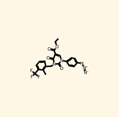 CCOC(=O)c1cn(-c2ccc(N=[N+]=[N-])cc2)c(=O)n(Cc2cccc(C(F)(F)F)c2C)c1=O